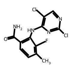 Cc1ccc(C(N)=O)c(Nc2nc(Cl)ncc2Cl)c1F